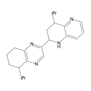 CC(C)C1CC(c2cnc3c(n2)CCCC3C(C)C)Nc2cccnc21